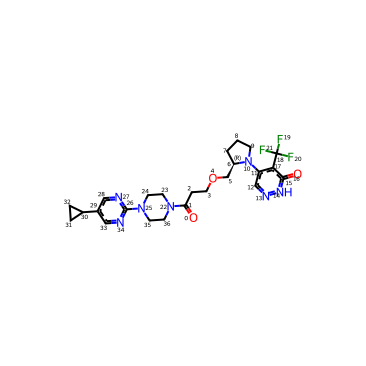 O=C(CCOC[C@H]1CCCN1c1cn[nH]c(=O)c1C(F)(F)F)N1CCN(c2ncc(C3CC3)cn2)CC1